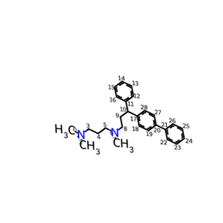 CN(C)CCCN(C)CCC(c1ccccc1)c1ccc(-c2ccccc2)cc1